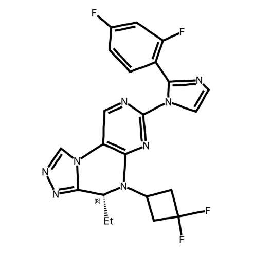 CC[C@@H]1c2nncn2-c2cnc(-n3ccnc3-c3ccc(F)cc3F)nc2N1C1CC(F)(F)C1